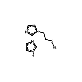 CCSCCn1ccnc1.c1c[nH]cn1